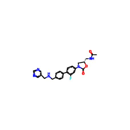 CC(=O)NC[C@H]1CN(c2ccc(-c3ccc(CNCc4cncnc4)cc3)c(F)c2)C(=O)O1